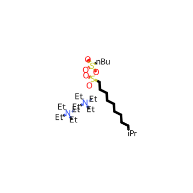 CCCCS(=O)(=O)OS(=O)(=O)CCCCCCCCCC(C)C.CC[N+](CC)(CC)CC.CC[N+](CC)(CC)CC